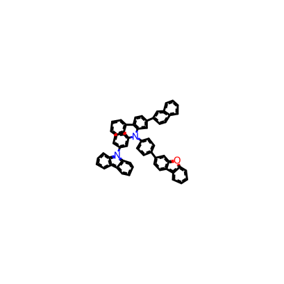 c1ccc(-c2ccc(-c3ccc4ccccc4c3)cc2N(c2ccc(-c3ccc4c(c3)oc3ccccc34)cc2)c2cccc(-n3c4ccccc4c4ccccc43)c2)cc1